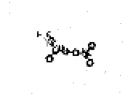 Cc1ccc(-c2cc(-c3ccccc3)cc(-c3ccc(-c4ccc(-c5nc(-c6ccccc6)nc(-c6ccccc6)n5)cc4)cn3)n2)nc1